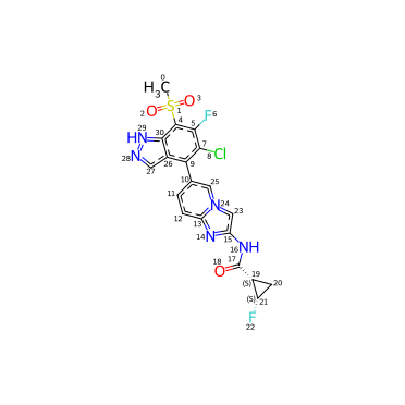 CS(=O)(=O)c1c(F)c(Cl)c(-c2ccc3nc(NC(=O)[C@@H]4C[C@@H]4F)cn3c2)c2cn[nH]c12